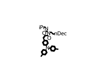 CCCCCCCCCCCCN1C(=O)/C(=C\c2ccc(N(c3ccc(C)cc3)c3ccc(C)cc3)cc2)OC1=NC(C)C